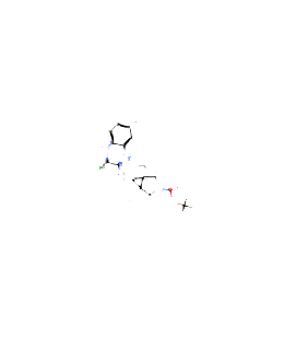 CC(C)(C)OC(=O)N1C[C@@H]2[C@H](C1)[C@H]2Nc1nc2ccccc2nc1Cl